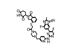 Cc1nc2c(F)cc(-c3nc(Nc4ccc(CN5CCN(C(=O)CSc6cccc7c6CN(C6CCC(=O)NC6=O)C7=O)CC5)cn4)ncc3F)cc2n1C(C)C